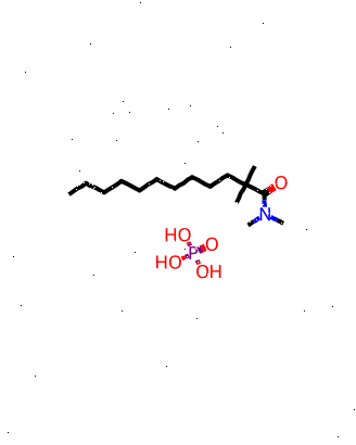 CCCCCCCCCCC(C)(C)C(=O)N(C)C.O=P(O)(O)O